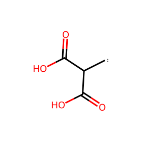 [CH]C(C(=O)O)C(=O)O